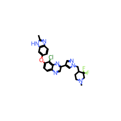 Cc1nc2ccc(Oc3ccc4ncc(-c5cnn(CC6CCN(C)CC6(F)F)c5)nc4c3Cl)cc2[nH]1